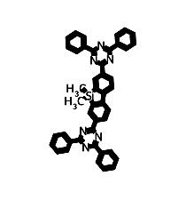 C[Si]1(C)c2cc(-c3nc(-c4ccccc4)nc(-c4ccccc4)n3)ccc2-c2ccc(-c3nc(-c4ccccc4)nc(-c4ccccc4)n3)cc21